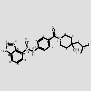 CC(C)CC1(O)CCN(C(=O)c2ccc(N[S+]([O-])c3cccc4snnc34)cc2)CC1